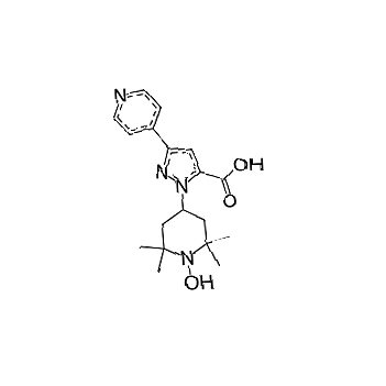 CC1(C)CC(n2nc(-c3ccncc3)cc2C(=O)O)CC(C)(C)N1O